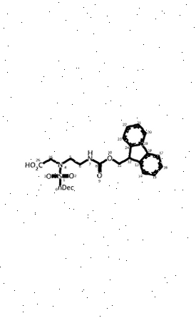 CCCCCCCCCCS(=O)(=O)N(CCNC(=O)OCC1c2ccccc2-c2ccccc21)CC(=O)O